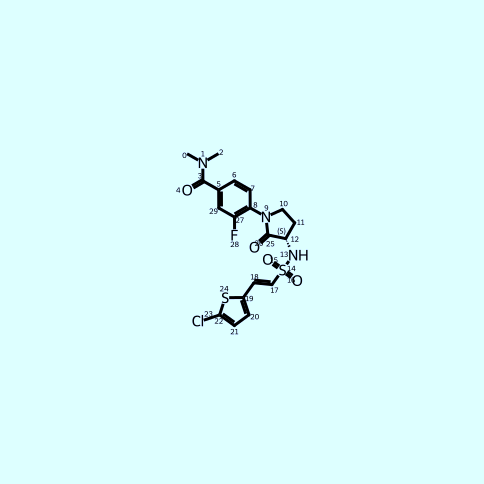 CN(C)C(=O)c1ccc(N2CC[C@H](NS(=O)(=O)C=Cc3ccc(Cl)s3)C2=O)c(F)c1